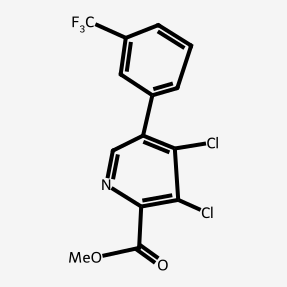 COC(=O)c1ncc(-c2cccc(C(F)(F)F)c2)c(Cl)c1Cl